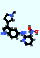 CN1CC[C@H](c2c[nH]c3ccc(Nc4ncccc4[N+](=O)[O-])cc23)C1